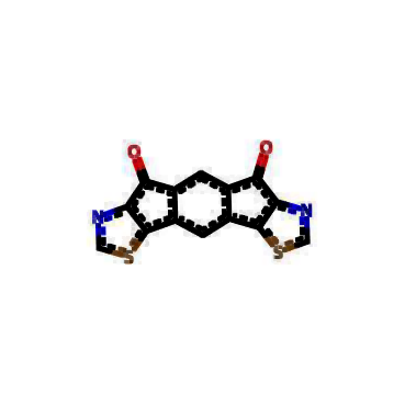 O=c1c2cc3c(=O)c4ncsc4c3cc2c2scnc12